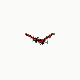 CCC=CCC=CCC=CCC=CCC=CCCCC(=O)NCCCCC(NC(=O)CCCC=CCC=CCC=CCC=CCC=CCC)C(=O)O